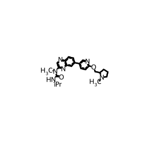 CC(C)NC(=O)N(C)c1cnc2ccc(-c3ccc(OCC4CCCN4C)nc3)cc2n1